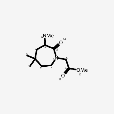 CNC1CC(C)(C)CCN(CC(=O)OC)C1=O